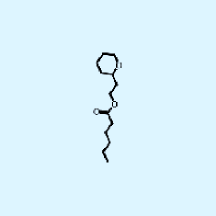 CCCCCC(=O)OCCC1CCCCO1